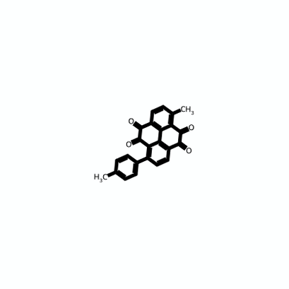 Cc1ccc(-c2ccc3c4c2c(=O)c(=O)c2ccc(C)c(c2-4)c(=O)c3=O)cc1